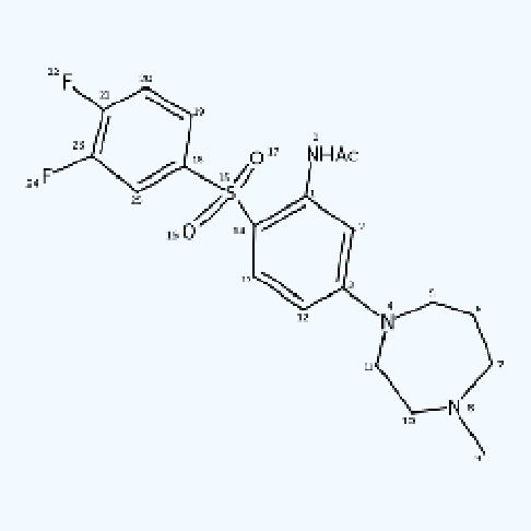 CC(=O)Nc1cc(N2CCCN(C)CC2)ccc1S(=O)(=O)c1ccc(F)c(F)c1